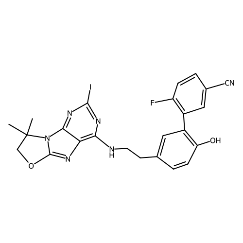 CC1(C)COc2nc3c(NCCc4ccc(O)c(-c5cc(C#N)ccc5F)c4)nc(I)nc3n21